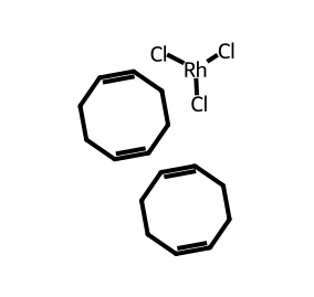 C1=CCCC=CCC1.C1=CCCC=CCC1.[Cl][Rh]([Cl])[Cl]